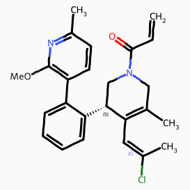 C=CC(=O)N1CC(C)=C(/C=C(\C)Cl)[C@H](c2ccccc2-c2ccc(C)nc2OC)C1